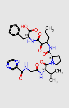 CCCC(NC(=O)[C@@H]1CCCN1C(=O)[C@@H](NC(=O)CNC(=O)c1cnccn1)C(C)C)C(=O)C(=O)N[C@@H](Cc1ccccc1)C(=O)O